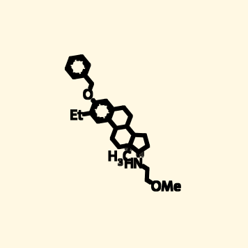 CCc1cc2c(cc1OCc1ccccc1)CCC1C2CC[C@@]2(C)C1CC[C@@H]2NCCOC